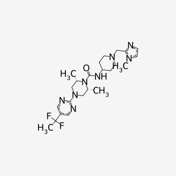 C[C@@H]1CN(c2ncc(C(C)(F)F)cn2)C[C@H](C)N1C(=O)NC1CCN(Cc2nccn2C)CC1